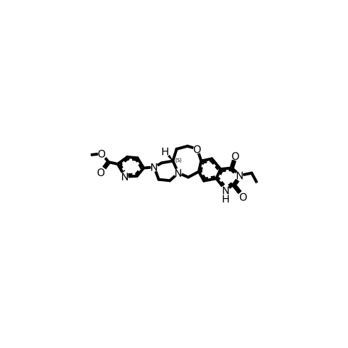 CCn1c(=O)[nH]c2cc3c(cc2c1=O)OCC[C@H]1CN(c2ccc(C(=O)OC)nc2)CCN1C3